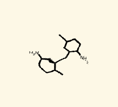 CC1CCC(N)C(CC2CC(N)CCC2C)C1